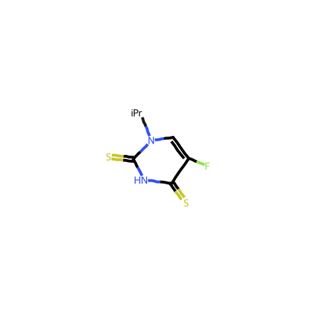 CC(C)n1cc(F)c(=S)[nH]c1=S